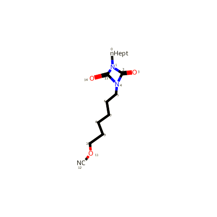 CCCCCCCN1C(=O)N(CCCCCCOC#N)C1=O